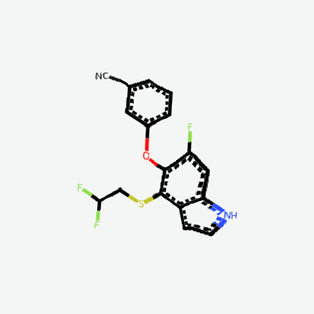 N#Cc1cccc(Oc2c(F)cc3[nH]ccc3c2SCC(F)F)c1